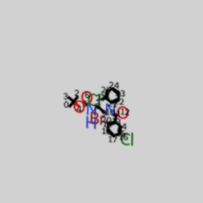 CC(C)(C)OC(=O)NCCN(C(=O)c1cc(Cl)ccc1Br)c1ccccc1Cl